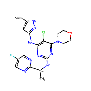 COc1cc(Nc2nc(N[C@@H](C)c3ncc(F)cn3)nc(N3CCOCC3)c2Cl)n[nH]1